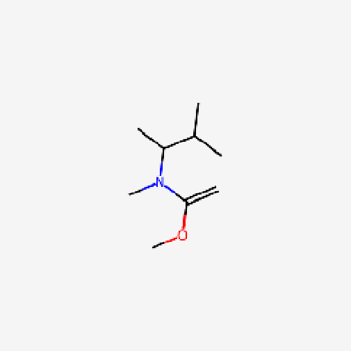 C=C(OC)N(C)C(C)C(C)C